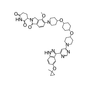 COc1c(N2CCC(OC3CCC(OC4CCN(c5cc(-c6n[nH]c7ccc(OC8(C)CC8)cc67)ncn5)CC4)CC3)CC2)ccc2c1CN(C1CCC(=O)NC1=O)C2=O